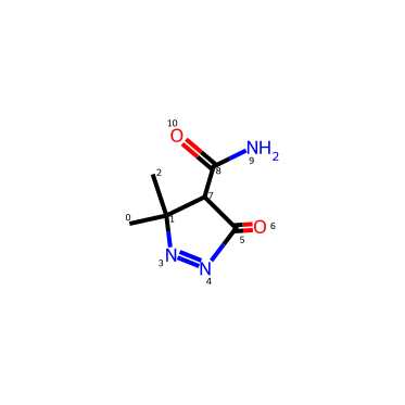 CC1(C)N=NC(=O)C1C(N)=O